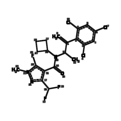 C=C(c1c(Cl)cc(Cl)cc1Cl)C(C)N(C(=O)c1c(C(F)F)nn(C)c1F)C1CCC1